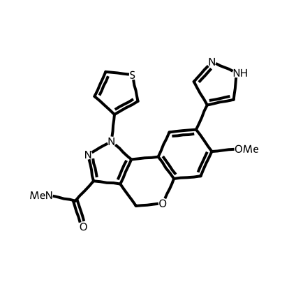 CNC(=O)c1nn(-c2ccsc2)c2c1COc1cc(OC)c(-c3cn[nH]c3)cc1-2